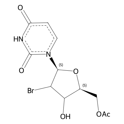 CC(=O)OC[C@@H]1O[C@H](n2ccc(=O)[nH]c2=O)C(Br)C1O